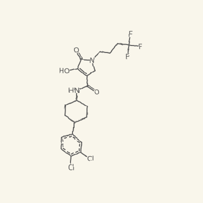 O=C(NC1CCC(c2ccc(Cl)c(Cl)c2)CC1)C1=C(O)C(=O)N(CCCC(F)(F)F)C1